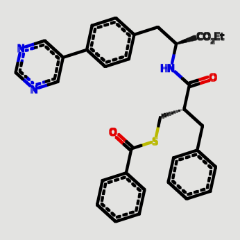 CCOC(=O)[C@H](Cc1ccc(-c2cncnc2)cc1)NC(=O)[C@@H](CSC(=O)c1ccccc1)Cc1ccccc1